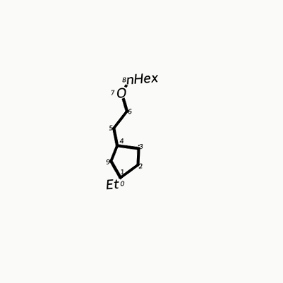 [CH2]CC1C[CH]C(CCOCCCCCC)C1